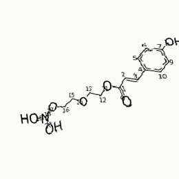 O=C(/C=C/c1ccc(O)cc1)OCCOCCON(O)O